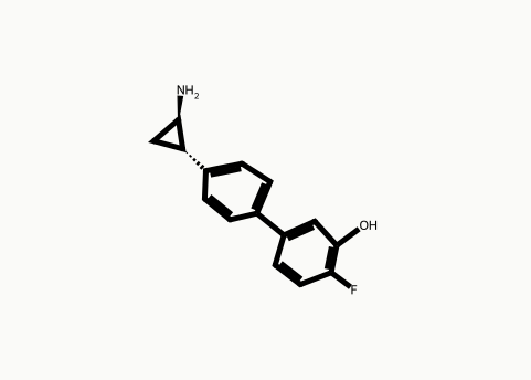 N[C@@H]1C[C@H]1c1ccc(-c2ccc(F)c(O)c2)cc1